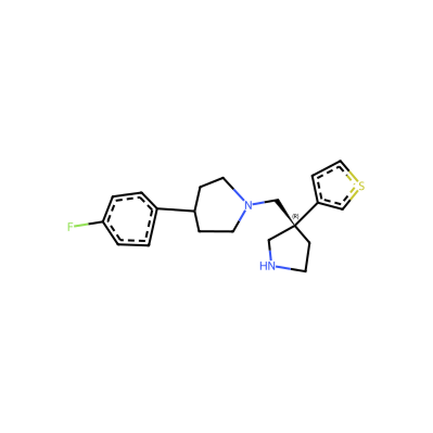 Fc1ccc(C2CCN(C[C@@]3(c4ccsc4)CCNC3)CC2)cc1